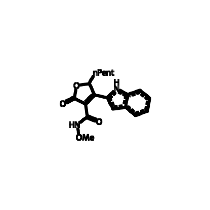 CCCCCC1OC(=O)C(C(=O)NOC)=C1c1cc2ccccc2[nH]1